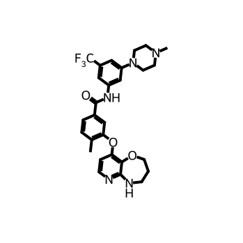 Cc1ccc(C(=O)Nc2cc(N3CCN(C)CC3)cc(C(F)(F)F)c2)cc1Oc1ccnc2c1OCCCN2